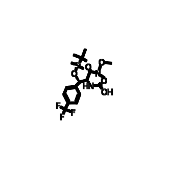 CON(C)C(=O)[C@@H](NC(=O)O)[C@H](O[Si](C)(C)C(C)(C)C)c1ccc(C(F)(F)F)cc1